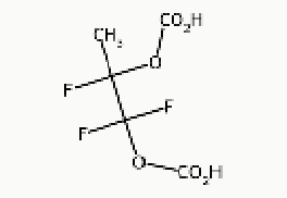 CC(F)(OC(=O)O)C(F)(F)OC(=O)O